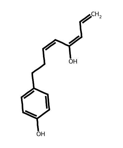 C=C/C=C(O)\C=C/CCc1ccc(O)cc1